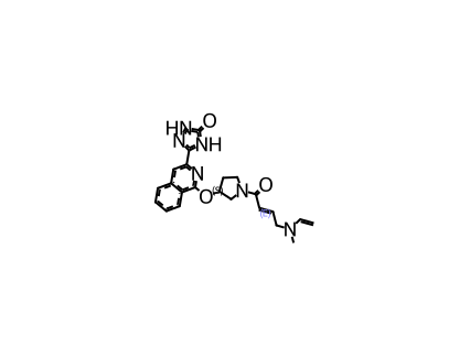 C=CN(C)C/C=C/C(=O)N1CC[C@H](Oc2nc(-c3n[nH]c(=O)[nH]3)cc3ccccc23)C1